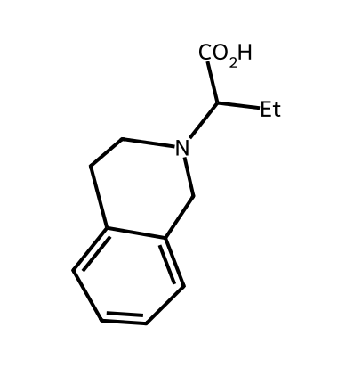 CCC(C(=O)O)N1CCc2ccccc2C1